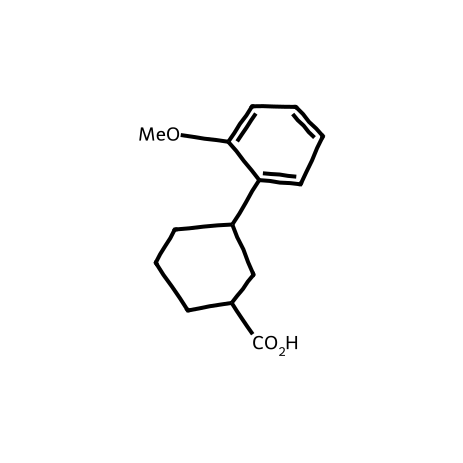 COc1ccccc1C1CCCC(C(=O)O)C1